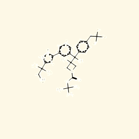 CC(C)(C)OC(=O)N1CC(C)(C(O)(c2ccc(CC(F)(F)F)cc2)c2cncc(-c3nc(C(C)(C)CO)no3)c2)C1